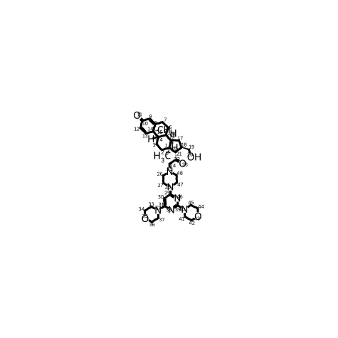 C[C@]12CC[C@H]3[C@@H](CCC4=CC(=O)C=C[C@@]43C)[C@@H]1C[C@@H](CO)[C@@H]2C(=O)CN1CCN(c2cc(N3CCOCC3)nc(N3CCOCC3)n2)CC1